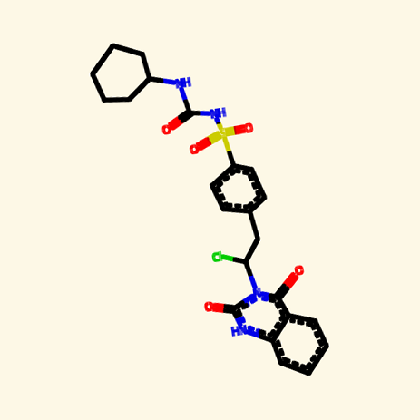 O=C(NC1CCCCC1)NS(=O)(=O)c1ccc(CC(Cl)n2c(=O)[nH]c3ccccc3c2=O)cc1